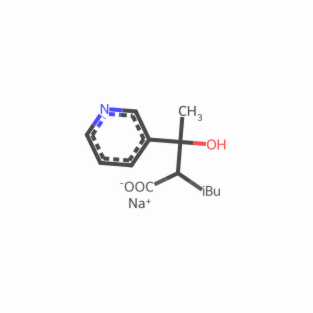 CCC(C)C(C(=O)[O-])C(C)(O)c1cccnc1.[Na+]